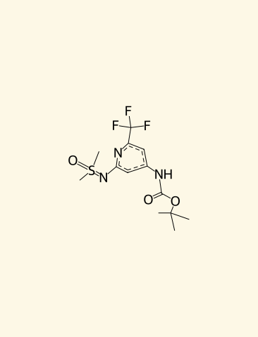 CC(C)(C)OC(=O)Nc1cc(N=S(C)(C)=O)nc(C(F)(F)F)c1